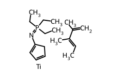 C=C(C)C(C)=CC.CCP(CC)(CC)=NC1=CC=CC1.[Ti]